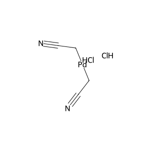 Cl.Cl.N#C[CH2][Pd][CH2]C#N